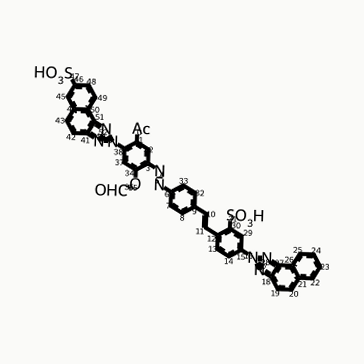 CC(=O)c1cc(N=Nc2ccc(C=Cc3ccc(-n4n5c6ccc7ccccc7c6n45)cc3S(=O)(=O)O)cc2)c(OC=O)cc1-n1n2c3ccc4cc(S(=O)(=O)O)ccc4c3n12